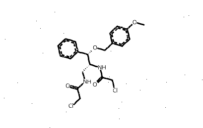 COc1ccc(CO[C@@H](c2ccccc2)[C@@H](CNC(=O)CCl)NC(=O)CCl)cc1